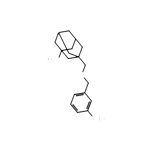 COC12CC3CC(CC(COCc4cccc(C=O)c4)(C3)C1)C2